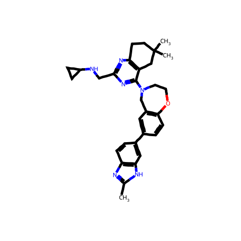 Cc1nc2ccc(-c3ccc4c(c3)CN(c3nc(CNC5CC5)nc5c3CC(C)(C)CC5)CCO4)cc2[nH]1